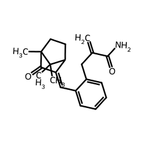 C=C(Cc1ccccc1C=C1C(=O)C2(C)CCC1C2(C)C)C(N)=O